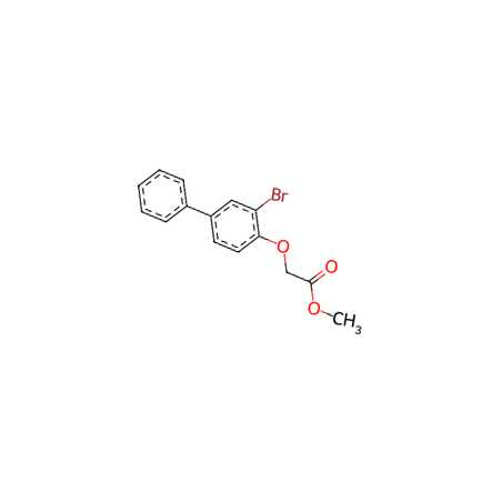 COC(=O)COc1ccc(-c2ccccc2)cc1Br